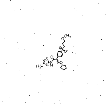 COCCCS(=O)(=O)c1ccc(/C(=N\OC2CCCC2)C(=O)Nc2nc(C)ns2)cc1